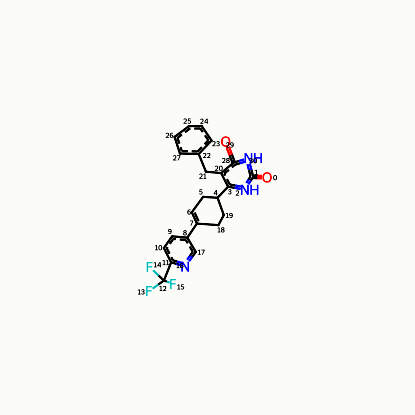 O=c1[nH]c(C2CC=C(c3ccc(C(F)(F)F)nc3)CC2)c(Cc2ccccc2)c(=O)[nH]1